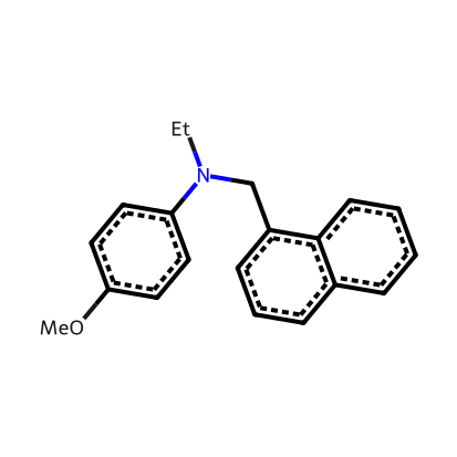 CCN(Cc1cccc2ccccc12)c1ccc(OC)cc1